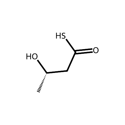 C[C@H](O)CC(=O)S